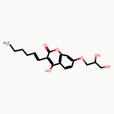 CCCCC=Cc1c(O)c2ccc(OCC(O)CO)cc2oc1=O